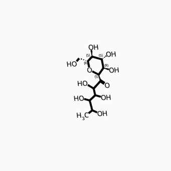 CC(O)C(O)C(O)C(O)C(=O)[C@H]1O[C@H](CO)[C@@H](O)[C@H](O)[C@H]1O